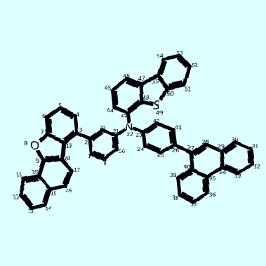 c1cc(-c2cccc3oc4c5ccccc5ccc4c23)cc(N(c2ccc(-c3cc4ccccc4c4ccccc34)cc2)c2cccc3c2sc2ccccc23)c1